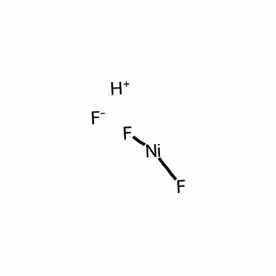 [F-].[F][Ni][F].[H+]